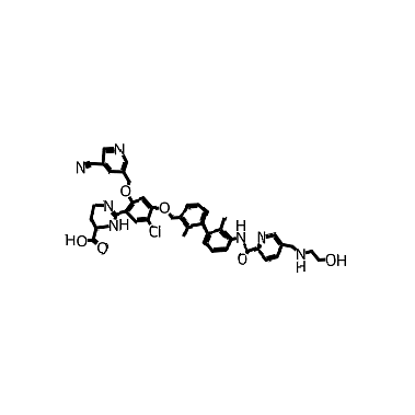 Cc1c(COc2cc(OCc3cncc(C#N)c3)c(C3=NCCC(C(=O)O)N3)cc2Cl)cccc1-c1cccc(NC(=O)c2ccc(CNCCO)cn2)c1C